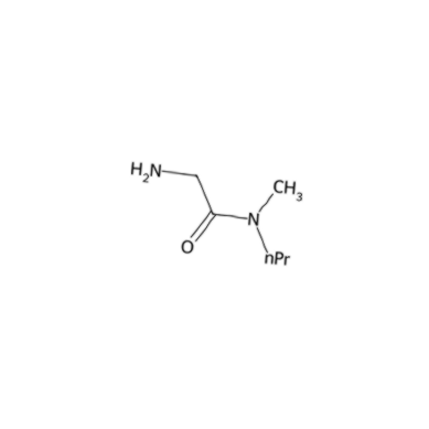 CCCN(C)C(=O)CN